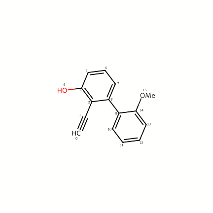 C#Cc1c(O)cccc1-c1ccccc1OC